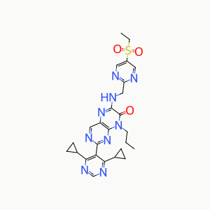 CCCn1c(=O)c(NCc2ncc(S(=O)(=O)CC)cn2)nc2cnc(-c3c(C4CC4)ncnc3C3CC3)nc21